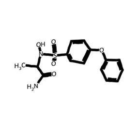 CC(C(N)=O)N(O)S(=O)(=O)c1ccc(Oc2ccccc2)cc1